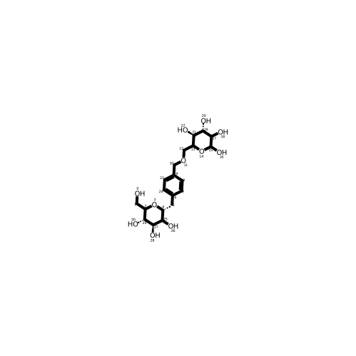 OCC1O[C@H](Cc2ccc(COCC3OC(O)C(O)[C@@H](O)[C@@H]3O)cc2)C(O)[C@@H](O)[C@@H]1O